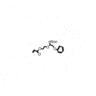 C=CC(=O)OCCOC(CCCCCCCCC)COc1ccccc1